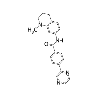 CN1CCCc2ccc(NC(=O)c3ccc(-c4cnccn4)cc3)cc21